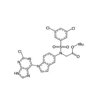 CC(C)(C)OC(=O)CN(c1ccc2c(ccn2-c2nc(Cl)nc3[nH]cnc23)c1)S(=O)(=O)c1cc(Cl)cc(Cl)c1